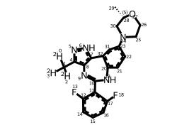 [2H]C([2H])([2H])c1n[nH]c2c1N=C(c1c(F)cccc1F)Nc1ccc(N3CCO[C@@H](C)C3)cc1-2